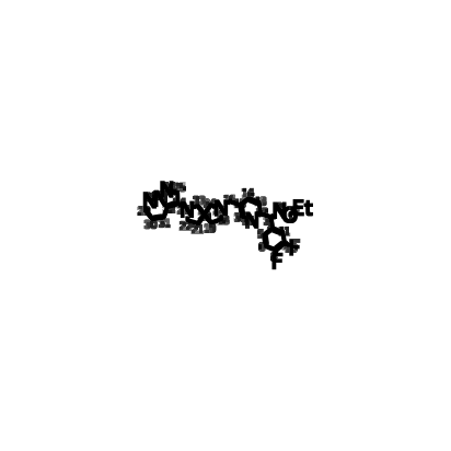 CCON=C(c1ccc(F)c(F)c1)c1ccc(CN2CCC3(CCN(c4cnn5ncccc45)C3)C2)cn1